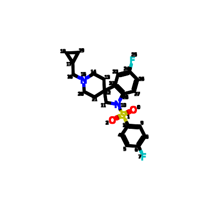 O=S(=O)(c1ccc(F)cc1)N1CC2(CCN(CC3CC3)CC2)c2cc(F)ccc21